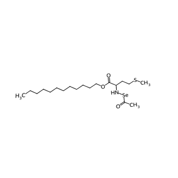 CCCCCCCCCCCCOC(=O)C(CCSC)N[Se]C(C)=O